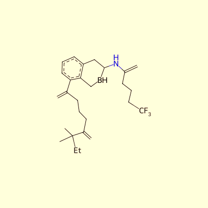 C=C(CCCC(F)(F)F)NC1BCc2c(cccc2C(=C)CCCC(=C)C(C)(C)CC)C1